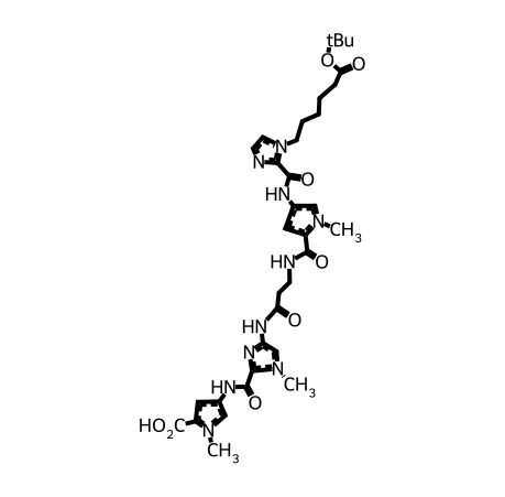 Cn1cc(NC(=O)c2nc(NC(=O)CCNC(=O)c3cc(NC(=O)c4nccn4CCCCCC(=O)OC(C)(C)C)cn3C)cn2C)cc1C(=O)O